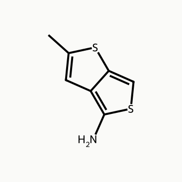 Cc1cc2c(N)scc2s1